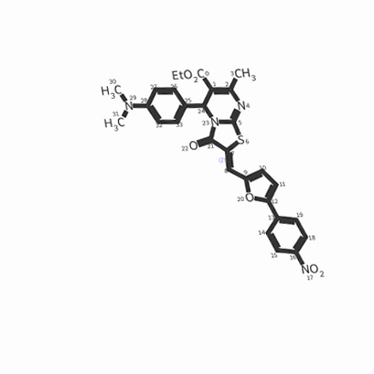 CCOC(=O)C1=C(C)N=c2s/c(=C\c3ccc(-c4ccc([N+](=O)[O-])cc4)o3)c(=O)n2C1c1ccc(N(C)C)cc1